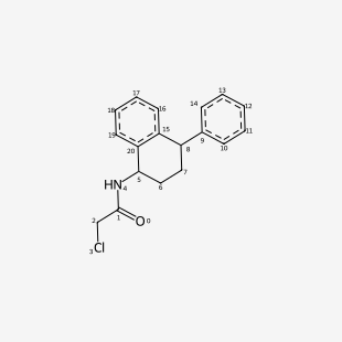 O=C(CCl)NC1CCC(c2ccccc2)c2ccccc21